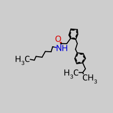 CCCCCCCNC(=O)Cc1ccccc1CCc1ccc(CC(C)C)cc1